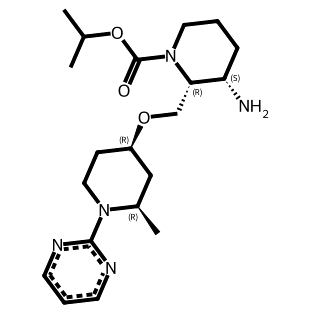 CC(C)OC(=O)N1CCC[C@H](N)[C@@H]1CO[C@@H]1CCN(c2ncccn2)[C@H](C)C1